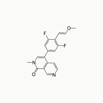 COC=Cc1c(F)cc(-c2cn(C)c(=O)c3cnccc23)cc1F